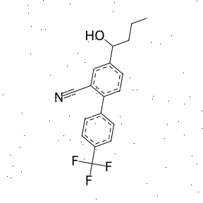 CCCC(O)c1ccc(-c2ccc(C(F)(F)F)cc2)c(C#N)c1